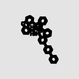 c1ccc(-c2ccc(-c3ccc(C4=NC(c5ccccc5)NC(c5cccc6oc7cccc(-c8ccc(-c9ccccc9)cc8)c7c56)N4)cc3)cc2)cc1